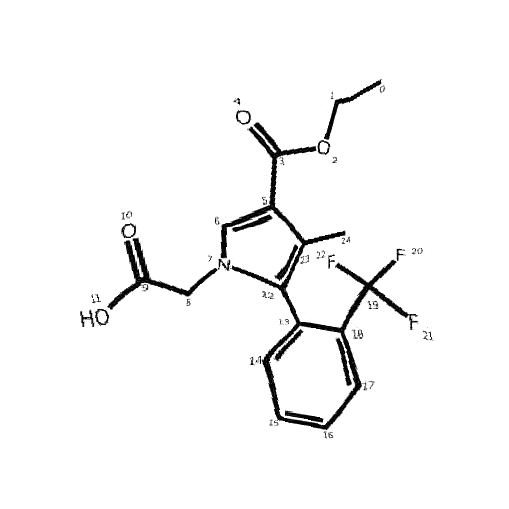 CCOC(=O)c1cn(CC(=O)O)c(-c2ccccc2C(F)(F)F)c1C